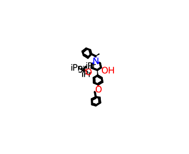 CC(C)[Si](O[C@@H]1CN([C@H](C)c2ccccc2)C[C@H](O)[C@H]1c1ccc(OCc2ccccc2)cc1)(C(C)C)C(C)C